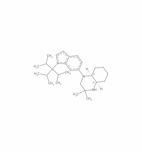 CC(C)[Si](C(C)C)(C(C)C)n1ccc2ccc(N3CC(C)(C)N[C@@H]4CCCC[C@@H]43)cc21